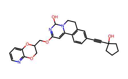 OC1N=C(OCC2COc3ncccc3O2)C=C2c3ccc(C#CC4(O)CCCC4)cc3CCN21